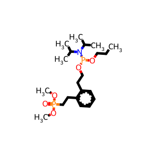 CCCOP(OCCc1ccccc1CCP(=O)(OC)OC)N(C(C)C)C(C)C